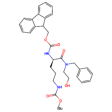 CC(C)(C)OC(=O)NCCC[C@@H](NC(=O)OCC1c2ccccc2-c2ccccc21)C(=O)N(CCO)Cc1ccccc1